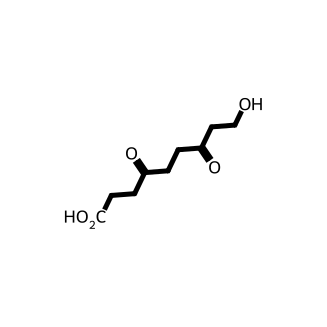 O=C(O)CCC(=O)CCC(=O)CCO